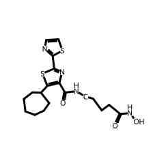 O=C(CCCCNC(=O)c1nc(-c2nccs2)sc1C1CCCCCC1)NO